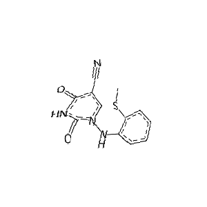 CSc1ccccc1Nn1cc(C#N)c(=O)[nH]c1=O